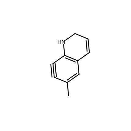 Cc1c#cc2c(c1)C=CCN2